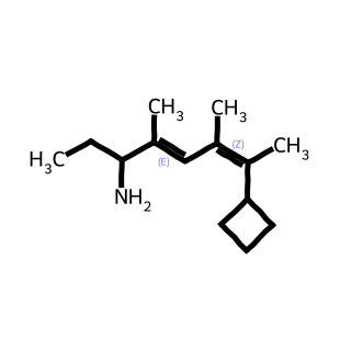 CCC(N)/C(C)=C/C(C)=C(/C)C1CCC1